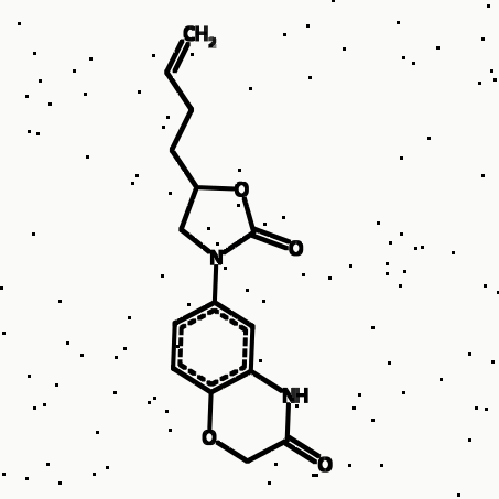 C=CCCC1CN(c2ccc3c(c2)NC(=O)CO3)C(=O)O1